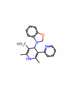 CC1=C(C(=O)O)C(N2COc3ccccc32)C(c2ccccn2)=C(C)N1